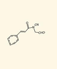 N#CN(C[C]=O)C(=O)/C=C/c1ccccc1